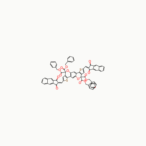 O=C1C(=Cc2cc3c(s2)-c2cc4c(cc2OC3(C(=O)OCc2ccccc2)C(=O)OCc2ccccc2)-c2sc(C=C3C(=O)c5cc6ccccc6cc5C3=O)cc2C(C(=O)OCc2ccccc2)(C(=O)OCc2ccccc2)O4)C(=O)c2cc3ccccc3cc21